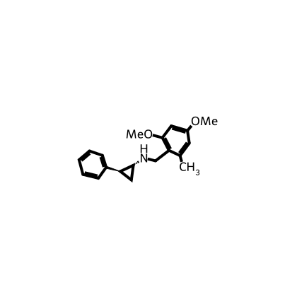 COc1cc(C)c(CN[C@@H]2C[C@H]2c2ccccc2)c(OC)c1